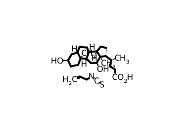 C=CCN=C=S.C[C@H](CCC(=O)O)[C@H]1CC[C@H]2[C@@H]3CC[C@@H]4C[C@H](O)CC[C@]4(C)[C@H]3C[C@H](O)[C@]12C